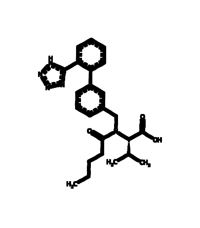 CCCCC(=O)N(Cc1cccc(-c2ccccc2-c2nnn[nH]2)c1)[C@H](C(=O)O)C(C)C